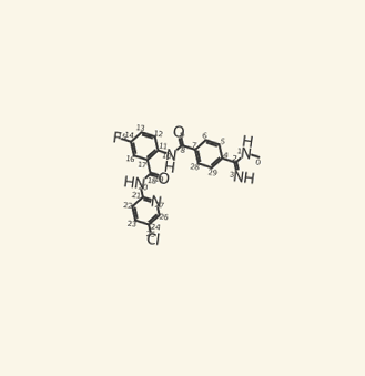 CNC(=N)c1ccc(C(=O)Nc2ccc(F)cc2C(=O)Nc2ccc(Cl)cn2)cc1